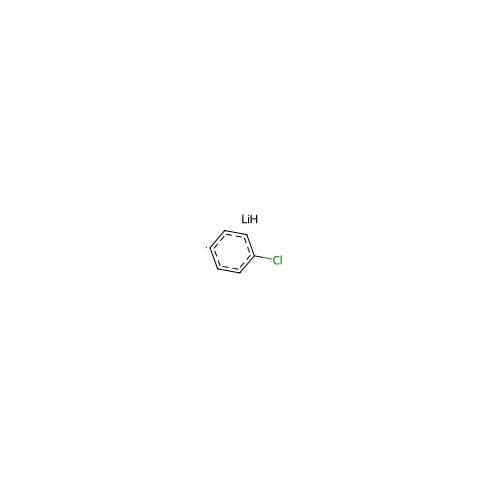 Clc1cc[c]cc1.[LiH]